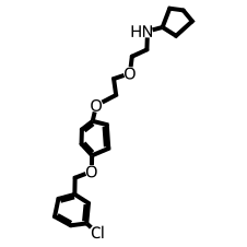 Clc1cccc(COc2ccc(OCCOCCNC3CCCC3)cc2)c1